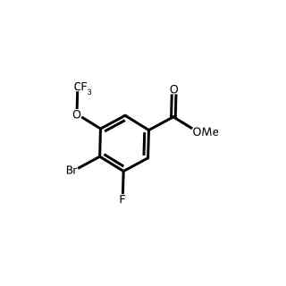 COC(=O)c1cc(F)c(Br)c(OC(F)(F)F)c1